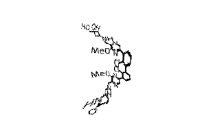 COc1nc(-c2cccc(-c3cccc(-c4cnc(CN[C@H]5C[C@@](O)(CO)C5)c(OC)n4)c3Cl)c2Cl)cnc1CNC[C@@H]1CCC(=O)N1